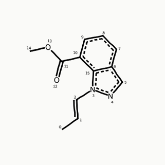 CC=Cn1ncc2cccc(C(=O)OC)c21